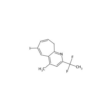 Cc1cc(C(C)(F)F)nc2c1C=C(I)C=CC2